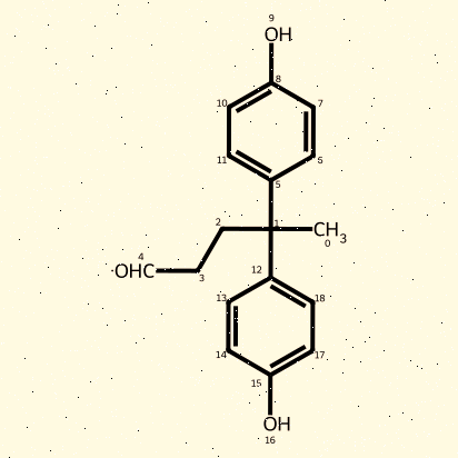 CC(CC[C]=O)(c1ccc(O)cc1)c1ccc(O)cc1